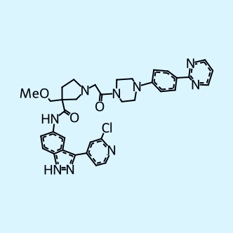 COCC1(C(=O)Nc2ccc3[nH]nc(-c4ccnc(Cl)c4)c3c2)CCN(CC(=O)N2CCN(c3ccc(-c4ncccn4)cc3)CC2)C1